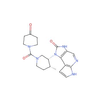 C[C@@H]1CCN(C(=O)N2CCC(=O)CC2)C[C@@H]1n1c(=O)[nH]c2cnc3[nH]ccc3c21